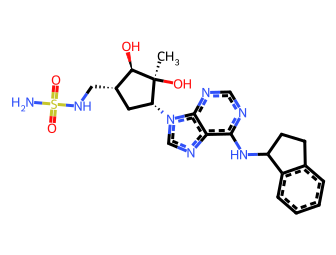 C[C@@]1(O)[C@H](O)[C@@H](CNS(N)(=O)=O)C[C@H]1n1cnc2c(NC3CCc4ccccc43)ncnc21